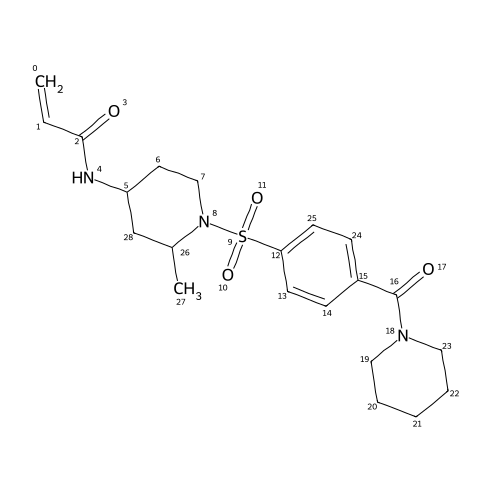 C=CC(=O)NC1CCN(S(=O)(=O)c2ccc(C(=O)N3CCCCC3)cc2)C(C)C1